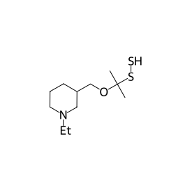 CCN1CCCC(COC(C)(C)SS)C1